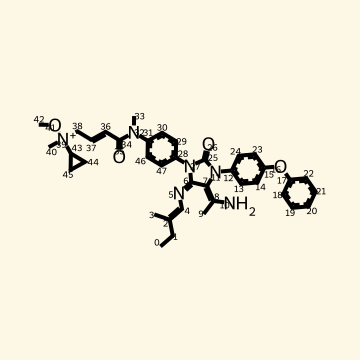 CC/C(C)=C/N=C1\C(=C(/C)N)N(c2ccc(Oc3ccccc3)cc2)C(=O)N1c1ccc(N(C)C(=O)/C=C/C[N+](C)(OC)C2CC2)cc1